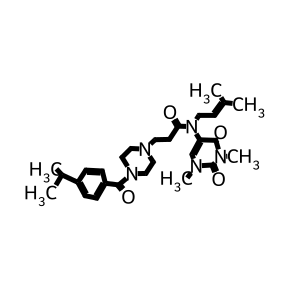 CC(C)=CCN(C(=O)CCN1CCN(C(=O)c2ccc(C(C)C)cc2)CC1)c1cn(C)c(=O)n(C)c1=O